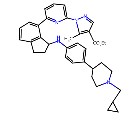 CCOC(=O)c1cnn(-c2cccc(-c3cccc4c3C(Nc3ccc(C5CCN(CC6CC6)CC5)cc3)CC4)n2)c1C